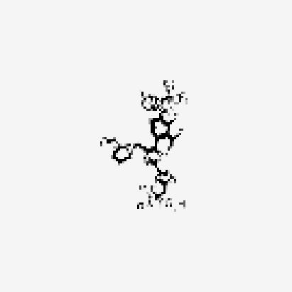 CC[C@H](NS(=O)(=O)c1ccc(-c2sc(-c3noc(CC(C)(C)C(=O)O)n3)nc2CN2CCC[C@@H]2CF)c(C(F)F)c1F)C(F)(F)F